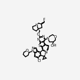 C[C@@]1(O)COCCN(c2nc(OC[C@@]34CCCN3C/C(=C\F)C4)nc3sc4c(-c5c(C6(F)CC6)c(Cl)cc6c5cnn6C5CCCCO5)nccc4c23)C1